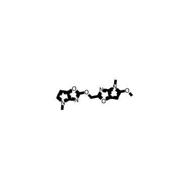 COc1cc2oc(COc3nc4c(ccn4C)o3)nc2n1C